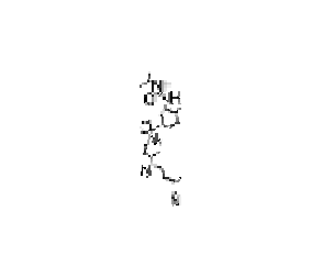 C=N/C(=C\C=C(/C)C#N)C1CCN(C(=O)c2ccc(C)c(NC(=O)NC(C)C)c2)CC1